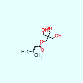 CC(C)=CC(=O)OCC(CO)(CO)CO